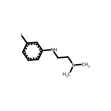 CN(C)CCNc1cccc(I)c1